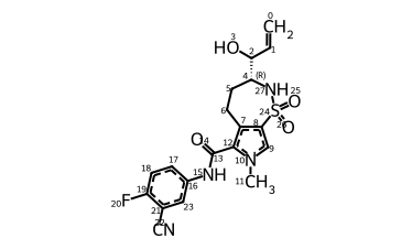 C=CC(O)[C@H]1CCc2c(cn(C)c2C(=O)Nc2ccc(F)c(C#N)c2)S(=O)(=O)N1